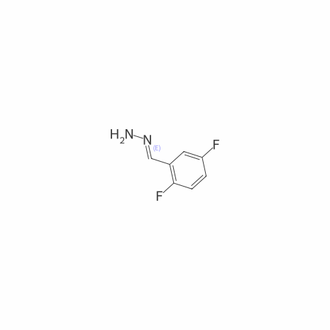 N/N=C/c1cc(F)ccc1F